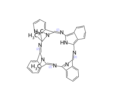 CN1/C2=N\c3[nH]c(c4ccccc34)/N=C3N=C(/N=c4/c5ccccc5/c(n4C)=N/C1(C)c1ccccc12)c1ccccc1\3